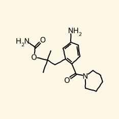 CC(C)(Cc1cc(N)ccc1C(=O)N1CCCCC1)OC(N)=O